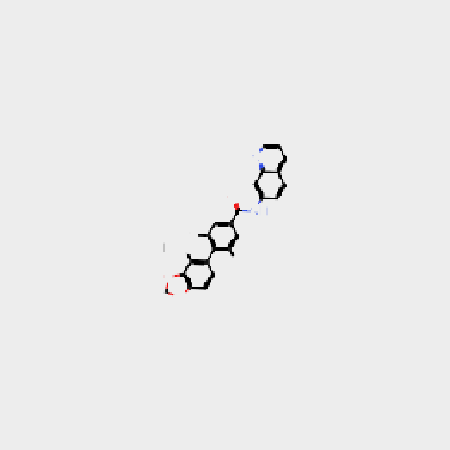 Cc1cc(C(=O)Nc2ccc3cccnc3c2)cc(C)c1-c1ccc2c(c1C)OCO2